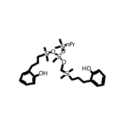 CCC[Si](C)(C)O[Si](C)(OC[Si](C)(C)CCCc1ccccc1O)O[Si](C)(C)CCCc1ccccc1O